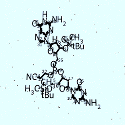 CC(C)(C)[Si](C)(C)OC[C@H]1O[C@@H](n2cnc(N)nc2=O)CC1OP(OCCC#N)OC[C@H]1O[C@@H](n2cnc3c(=O)[nH]c(N)nc32)CC1O[Si](C)(C)C(C)(C)C